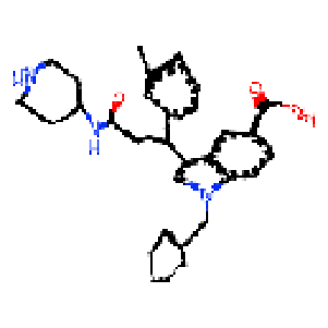 Cc1cccc(C(CC(=O)NC2CCNCC2)c2cn(CC3CCCCC3)c3ccc(C(=O)O)cc23)c1